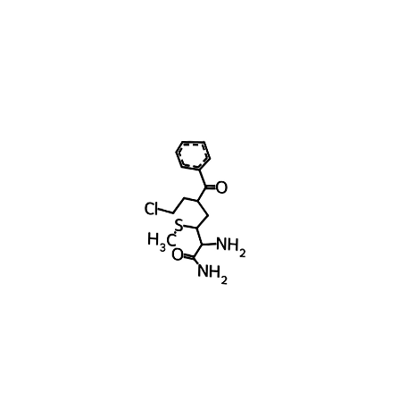 CSC(CC(CCCl)C(=O)c1ccccc1)C(N)C(N)=O